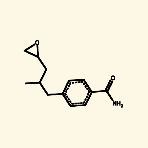 CC(Cc1ccc(C(N)=O)cc1)CC1CO1